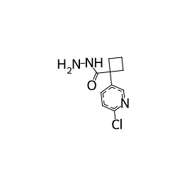 NNC(=O)C1(c2ccc(Cl)nc2)CCC1